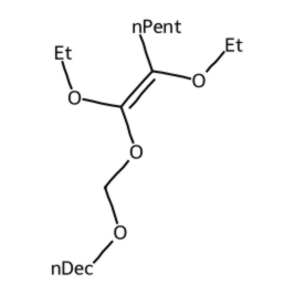 CCCCCCCCCCOCO/C(OCC)=C(/CCCCC)OCC